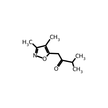 Cc1noc(CC(=O)C(C)C)c1C